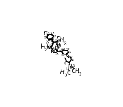 CCN(CC)C1CCN(c2cccc(-c3cnn4c(N)c(-c5ccc(F)cc5)c(C)nc34)c2)CC1